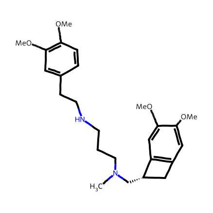 COc1ccc(CCNCCCN(C)C[C@H]2Cc3cc(OC)c(OC)cc32)cc1OC